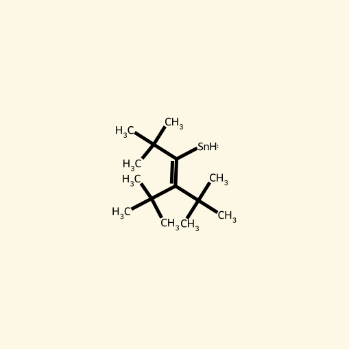 CC(C)(C)[C]([SnH])=C(C(C)(C)C)C(C)(C)C